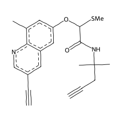 C#CCC(C)(C)NC(=O)C(Oc1cc(C)c2ncc(C#C)cc2c1)SC